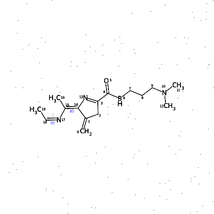 C=C1CC(C(=O)BCCCN(C)C)=N/C1=C(C)/N=C\C